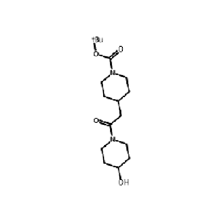 CC(C)(C)OC(=O)N1CCC(CC(=O)N2CCC(O)CC2)CC1